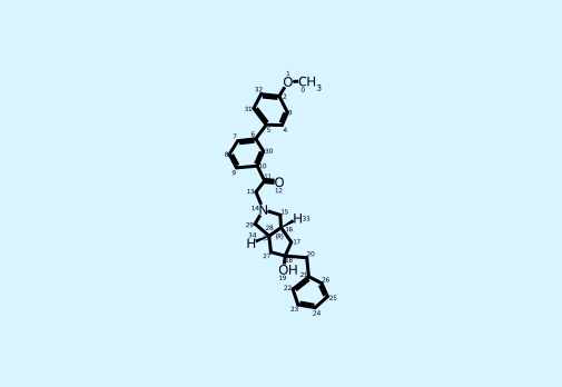 COc1ccc(-c2cccc(C(=O)CN3C[C@@H]4CC(O)(Cc5ccccc5)C[C@@H]4C3)c2)cc1